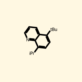 CC(C)c1ccc(C(C)(C)C)c2cccnc12